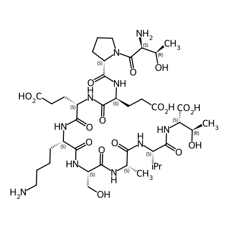 CC(C)[C@H](NC(=O)[C@H](C)NC(=O)[C@H](CO)NC(=O)[C@H](CCCCN)NC(=O)[C@H](CCC(=O)O)NC(=O)[C@H](CCC(=O)O)NC(=O)[C@@H]1CCCN1C(=O)[C@@H](N)[C@@H](C)O)C(=O)N[C@H](C(=O)O)[C@@H](C)O